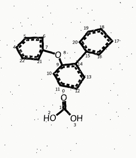 O=C(O)O.c1ccc(Oc2ccccc2-c2ccccc2)cc1